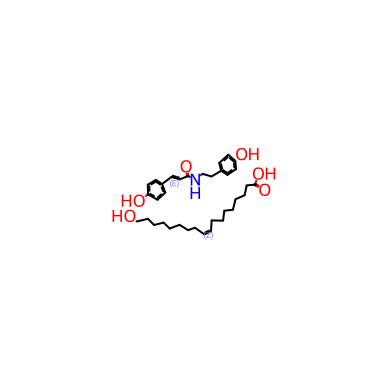 O=C(/C=C/c1ccc(O)cc1)NCCc1ccc(O)cc1.O=C(O)CCCCCCC/C=C\CCCCCCCCO